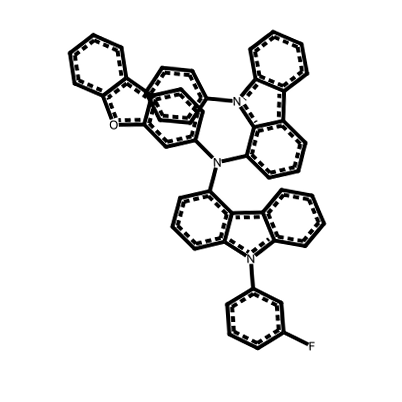 Fc1cccc(-n2c3ccccc3c3c(N(c4ccc5c(c4)oc4ccccc45)c4cccc5c6ccccc6n(-c6ccccc6)c45)cccc32)c1